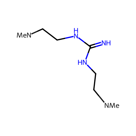 CNCCNC(=N)NCCNC